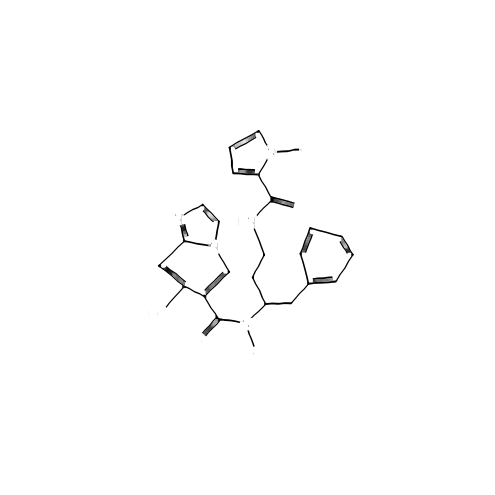 Cc1cc2nccn2cc1C(=O)N(C)C(CCNC(=O)c1cccn1C)Cc1ccccc1